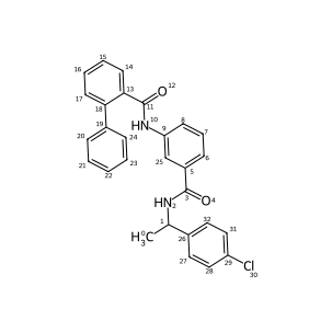 CC(NC(=O)c1cccc(NC(=O)c2ccccc2-c2ccccc2)c1)c1ccc(Cl)cc1